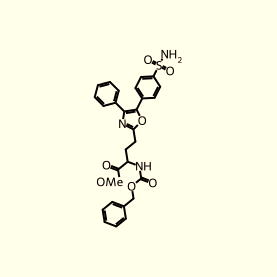 COC(=O)C(CCc1nc(-c2ccccc2)c(-c2ccc(S(N)(=O)=O)cc2)o1)NC(=O)OCc1ccccc1